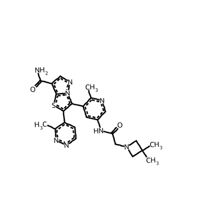 Cc1nnccc1-c1sc2c(C(N)=O)cnn2c1-c1cc(NC(=O)CN2CC(C)(C)C2)cnc1C